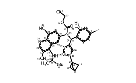 Cc1nc(F)ccc1[C@@H](c1cn(C23CC(C2)C3)nn1)N(C(=O)OCCl)c1cc(C#N)c2ncc(C#N)c(N[C@H](C)C(C)(C)C)c2c1